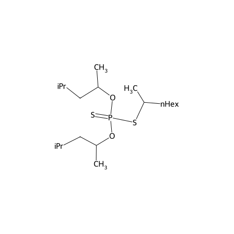 CCCCCCC(C)SP(=S)(OC(C)CC(C)C)OC(C)CC(C)C